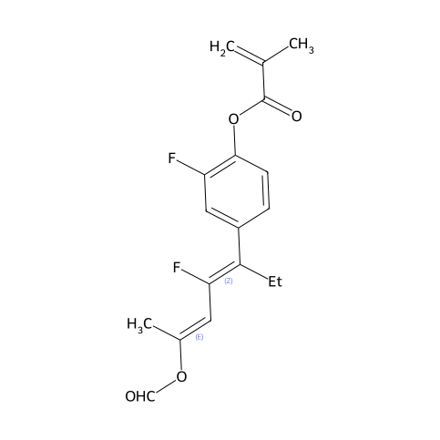 C=C(C)C(=O)Oc1ccc(/C(CC)=C(F)/C=C(\C)OC=O)cc1F